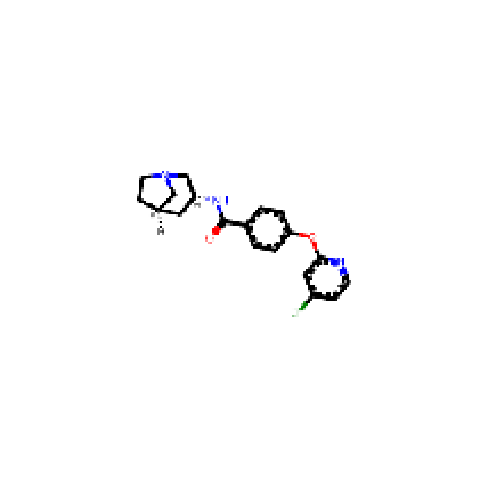 O=C(N[C@@H]1C[C@H]2CCN(C2)C1)c1ccc(Oc2cc(Cl)ccn2)cc1